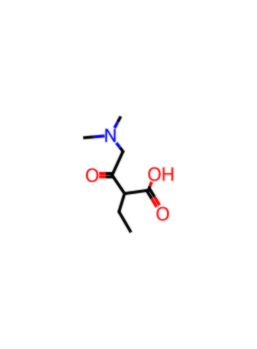 CCC(C(=O)O)C(=O)CN(C)C